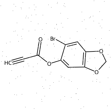 C#CC(=O)Oc1cc2c(cc1Br)OCO2